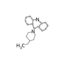 CCC1CCN(c2c3ccccc3nc3ccccc23)CC1